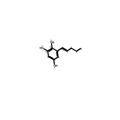 CCC/C=C/c1cc(O)cc(O)c1O